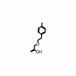 C=C(O)COCCc1ccc(C)cc1